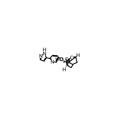 O=C(O)[C@]12CC3C[C@H](C1)[C@H](COc1ccc(-c4ccn[nH]4)nc1)[C@@H](C3)C2